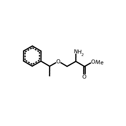 COC(=O)C(N)COC(C)c1ccccc1